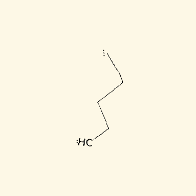 [C]CCC[CH]